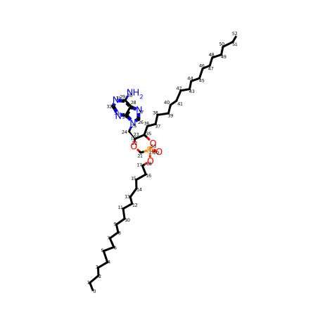 CCCCCCCCCCCCCCCCCCOP1(=O)CO[C@@H](Cn2cnc3c(N)ncnc32)C(CCCCCCCCCCCCCCCCC)O1